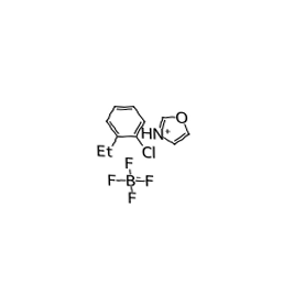 CCc1ccccc1Cl.F[B-](F)(F)F.c1coc[nH+]1